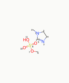 CN1C=NCC1.COS(=O)(=O)O